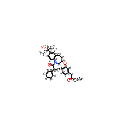 COC(=O)Cc1cccc(OC2CCc3cc(C(O)(C(F)(F)F)C(F)(F)F)ccc3N(C(=O)C(C)c3ccccc3)C2)c1